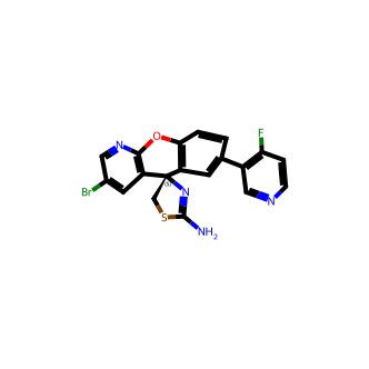 NC1=N[C@@]2(CS1)c1cc(-c3cnccc3F)ccc1Oc1ncc(Br)cc12